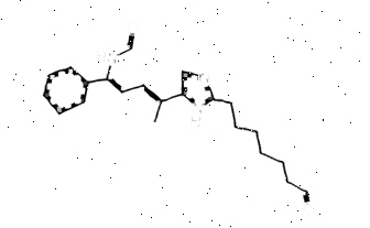 C/C(=C\C=C(/NC=O)c1ccccc1)c1cnc(CCCCCCC=O)[nH]1